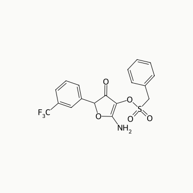 NC1=C(OS(=O)(=O)Cc2ccccc2)C(=O)C(c2cccc(C(F)(F)F)c2)O1